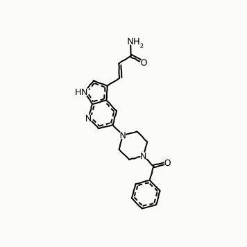 NC(=O)/C=C/c1c[nH]c2ncc(N3CCN(C(=O)c4ccccc4)CC3)cc12